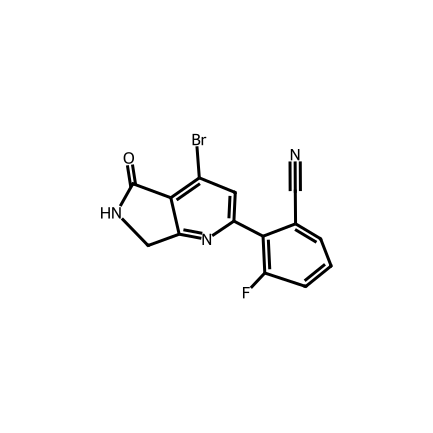 N#Cc1cccc(F)c1-c1cc(Br)c2c(n1)CNC2=O